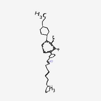 CCCCCC/C=C/Oc1ccc(C2CCC(CCC)CC2)c(F)c1F